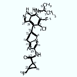 CC(C)Nc1c(F)c(Cl)c(-c2ccc3nc(NC(=O)C4CC4F)cn3c2)c2cn[nH]c12